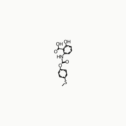 CSc1ccc(OC(=O)Nc2cccc(O)c2C(=O)O)cc1